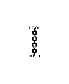 OC(O)c1ccc(N2CCC(C3CCN(c4ccc(C(O)O)cc4)CC3)CC2)cc1